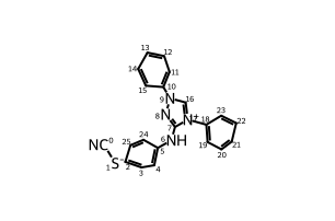 N#C[S-].c1ccc(Nc2nn(-c3ccccc3)c[n+]2-c2ccccc2)cc1